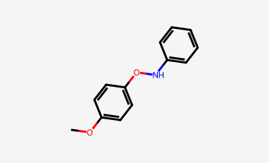 COc1ccc(ONc2ccccc2)cc1